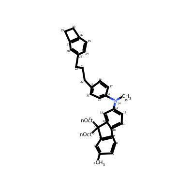 CCCCCCCCC1(CCCCCCCC)c2cc(C)ccc2-c2ccc(N(C)c3ccc(CCCc4ccc5c(c4)CC5)cc3)cc21